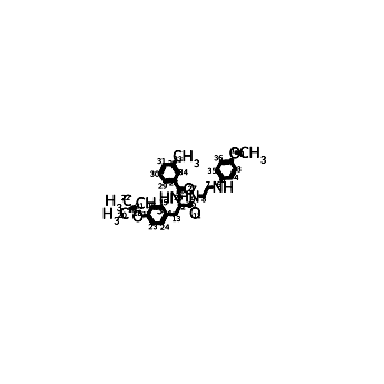 COc1ccc(NCCNC(=O)C(Cc2ccc(OC(C)(C)C)cc2)NC(=O)c2cccc(C)c2)cc1